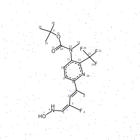 C/C(=C\C(F)=C/NO)c1ccc(N(C)C(=O)OC(C)(C)C)c(C(F)(F)F)n1